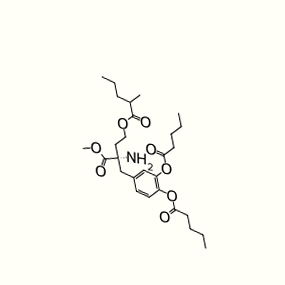 CCCCC(=O)Oc1ccc(C[C@](N)(CCOC(=O)C(C)CCC)C(=O)OC)cc1OC(=O)CCCC